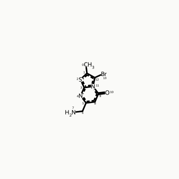 Cc1sc2nc(CN)cc(=O)n2c1Br